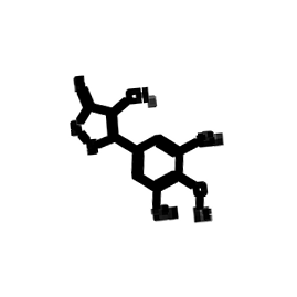 CCOc1c(C(C)(C)C)cc(-c2ssc(=S)c2C)cc1C(C)(C)C